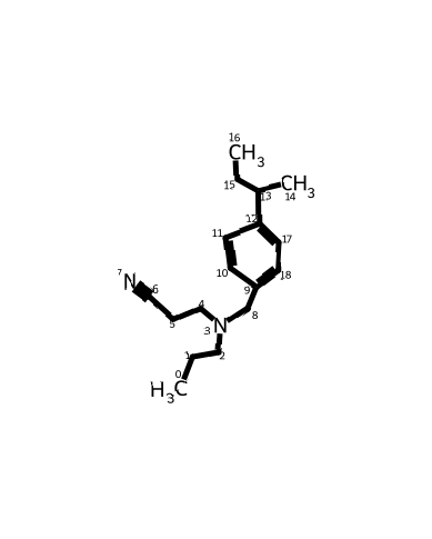 CCCN(CCC#N)Cc1ccc(C(C)CC)cc1